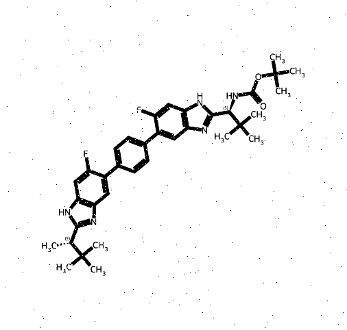 C[C@H](c1nc2cc(-c3ccc(-c4cc5nc([C@@H](NC(=O)OC(C)(C)C)C(C)(C)C)[nH]c5cc4F)cc3)c(F)cc2[nH]1)C(C)(C)C